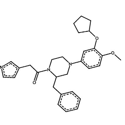 COc1ccc(N2CCN(C(=O)Cc3cc[nH]c3)C(Cc3ccccc3)C2)cc1OC1CCCC1